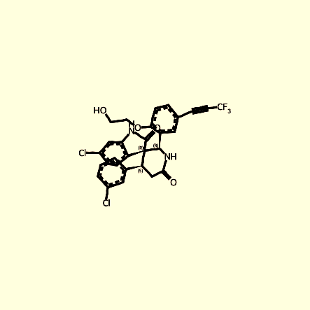 O=C1C[C@@H](c2cccc(Cl)c2)[C@]2(C(=O)Nc3cc(Cl)ccc32)[C@@H](c2cc(C#CC(F)(F)F)ccc2OCCO)N1